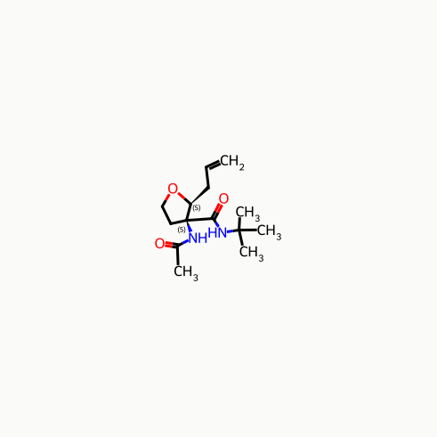 C=CC[C@@H]1OCC[C@@]1(NC(C)=O)C(=O)NC(C)(C)C